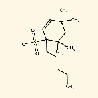 CCCCCC1(S(=O)(=O)O)C=CC(C)(C)CC1(C)C